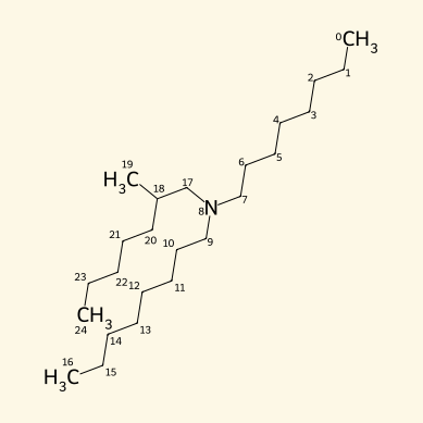 CCCCCCCCN(CCCCCCCC)CC(C)CCCCC